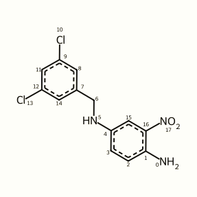 Nc1ccc(NCc2cc(Cl)cc(Cl)c2)cc1[N+](=O)[O-]